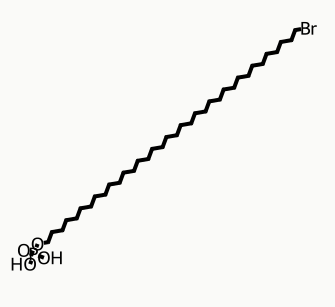 O=P(O)(O)OCCCCCCCCCCCCCCCCCCCCCCCCCCCCCCCCCCCCBr